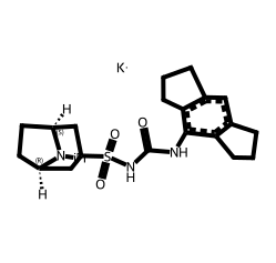 CC(C)N1[C@@H]2CC[C@H]1CC(S(=O)(=O)NC(=O)Nc1c3c(cc4c1CCC4)CCC3)C2.[K]